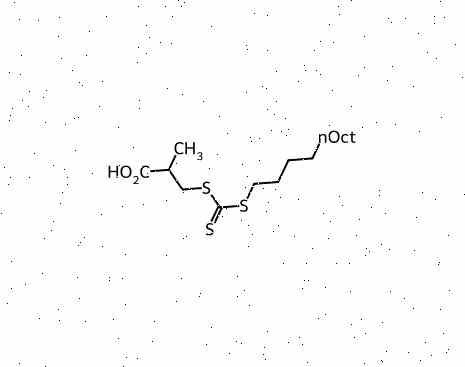 CCCCCCCCCCCCSC(=S)SCC(C)C(=O)O